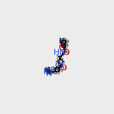 O=C(NCC1CC12CCN(C(=O)c1ccc(Cc3nnn[nH]3)cc1)CC2)c1cc2ccncc2o1